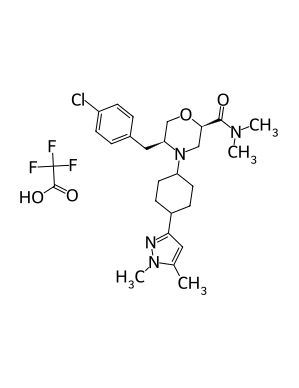 Cc1cc(C2CCC(N3C[C@H](C(=O)N(C)C)OC[C@@H]3Cc3ccc(Cl)cc3)CC2)nn1C.O=C(O)C(F)(F)F